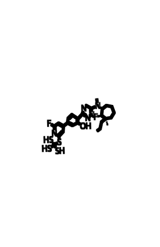 CCC[C@]1(C)CCCC[C@H](N(C)c2cnc(-c3ccc(-c4cc(F)nc(SC(S)(S)S)c4)cc3O)nn2)[C@@H]1F